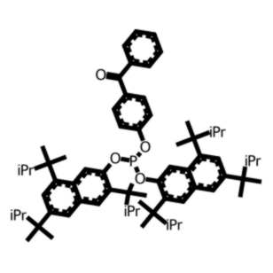 CC(C)C(C)(C)c1cc(C(C)(C)C(C)C)c2cc(OP(Oc3ccc(C(=O)c4ccccc4)cc3)Oc3cc4c(C(C)(C)C(C)C)cc(C(C)(C)C(C)C)cc4cc3C(C)(C)C(C)C)c(C(C)(C)C(C)C)cc2c1